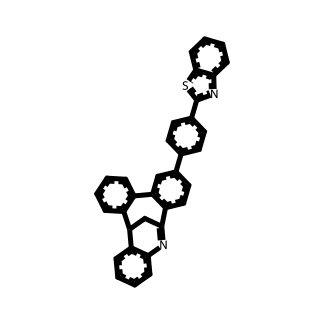 c1ccc2c(c1)N=C1CC2c2ccccc2-c2cc(-c3ccc(-c4nc5ccccc5s4)cc3)ccc21